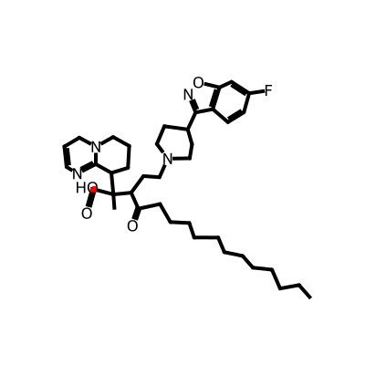 CCCCCCCCCCCCC(=O)C(CCN1CCC(c2noc3cc(F)ccc23)CC1)C(C)(C(=O)O)C1CCCN2CC=CN=C12